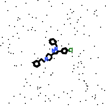 Clc1ccc(-c2cc(C3CCN(CCc4ccccc4)CC3)nn2Cc2ccccc2)cc1